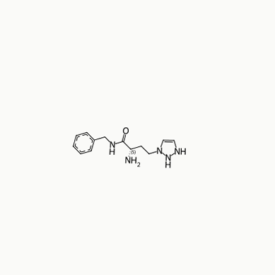 N[C@@H](CCN1C=CNN1)C(=O)NCc1ccccc1